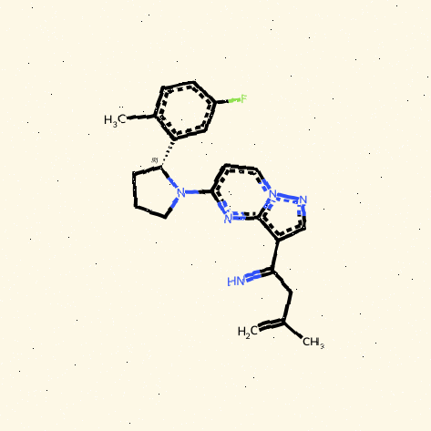 C=C(C)CC(=N)c1cnn2ccc(N3CCC[C@@H]3c3cc(F)ccc3C)nc12